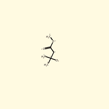 COC(=O)CC(C)(N)Cl